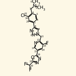 CN(C)Cc1ccc(-c2cn(Cc3ncc(-c4nnc(C(F)F)o4)cc3F)nn2)cc1Cl